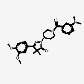 COc1ccc(C2=NN(C3CCN(C(=O)c4cccc(N(C)C)c4)CC3)C(=O)C2(C)C)cc1OC